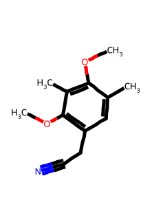 COc1c(C)cc(CC#N)c(OC)c1C